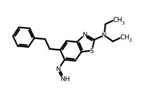 CCN(CC)c1nc2cc(CCc3ccccc3)c(N=N)cc2s1